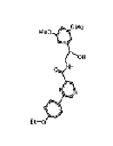 CCOc1ccc(-c2cncc(C(=O)NC[C@H](O)c3cc(OC)cc(OC)c3)n2)cc1